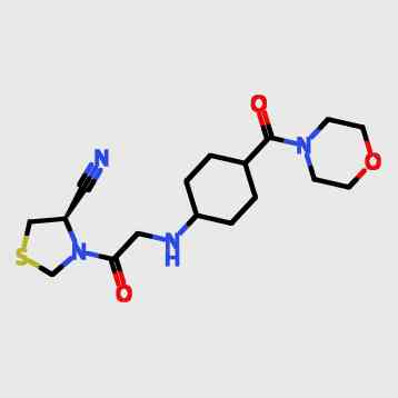 N#C[C@@H]1CSCN1C(=O)CNC1CCC(C(=O)N2CCOCC2)CC1